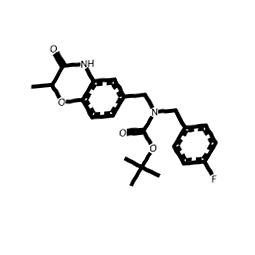 CC1Oc2ccc(CN(Cc3ccc(F)cc3)C(=O)OC(C)(C)C)cc2NC1=O